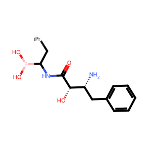 CC(C)CC(NC(=O)[C@@H](O)[C@H](N)Cc1ccccc1)B(O)O